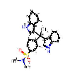 CCCN(CCC)S(=O)(=O)c1ccc(C(C)(c2c[nH]c3ccccc23)c2c[nH]c3ccccc23)cc1